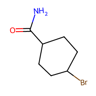 NC(=O)C1CCC(Br)CC1